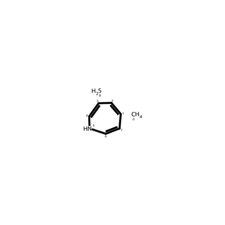 C.C1=CC=CNC=C1.S